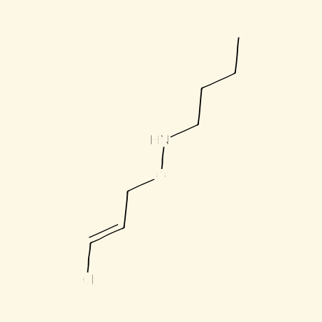 CC[CH]CNOC/C=C/Cl